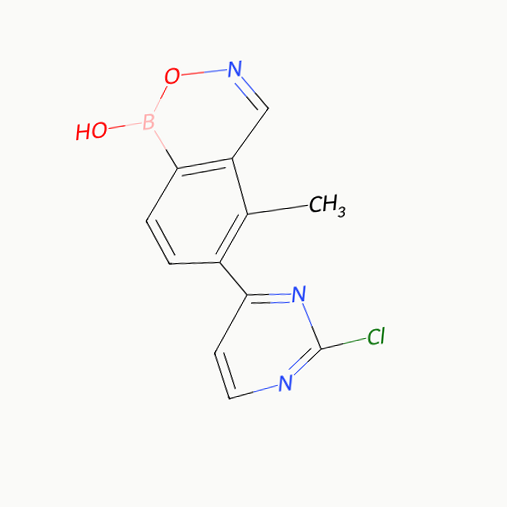 Cc1c(-c2ccnc(Cl)n2)ccc2c1C=NOB2O